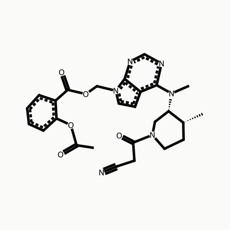 CC(=O)Oc1ccccc1C(=O)OCn1ccc2c(N(C)[C@H]3CN(C(=O)CC#N)CC[C@H]3C)ncnc21